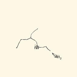 CCC(C)NC[SiH3]